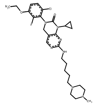 CCOc1ccc(Cl)c(N2Cc3cnc(NCCCCCN4CCN(C)CC4)nc3N(C3CC3)C2=O)c1F